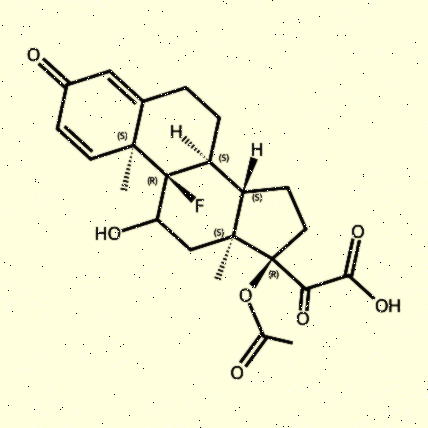 CC(=O)O[C@]1(C(=O)C(=O)O)CC[C@H]2[C@@H]3CCC4=CC(=O)C=C[C@]4(C)[C@@]3(F)C(O)C[C@@]21C